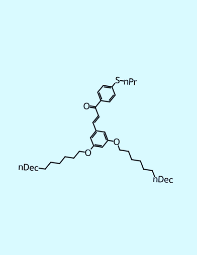 CCCCCCCCCCCCCCCCOc1cc(C=CC(=O)c2ccc(SCCC)cc2)cc(OCCCCCCCCCCCCCCCC)c1